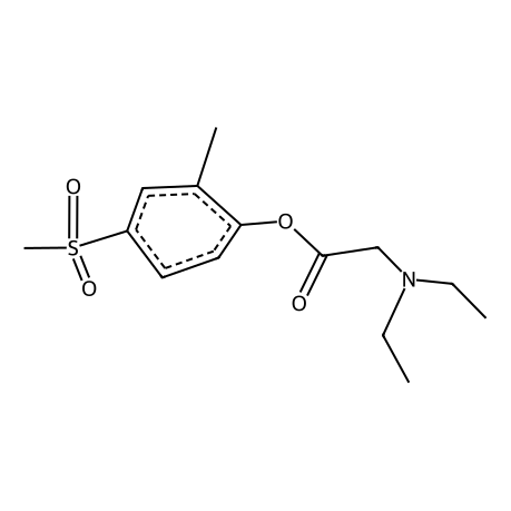 CCN(CC)CC(=O)Oc1ccc(S(C)(=O)=O)cc1C